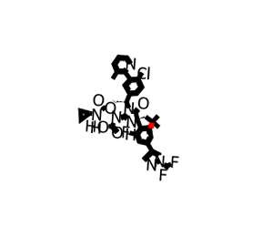 Cc1cccnc1-c1cc([C@@H](COC(=O)NC2CC2)N2C(=O)[C@@](CC(C)(C)C)(c3ccc(-c4cnn(C(F)F)c4)cc3F)N/C2=N\C(=O)O)ccc1Cl